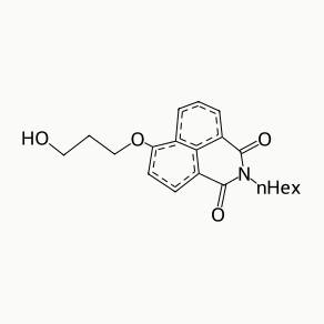 CCCCCCN1C(=O)c2cccc3c(OCCCO)ccc(c23)C1=O